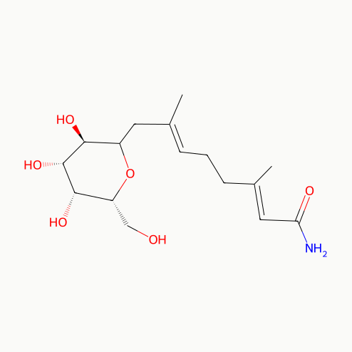 CC(=CCC/C(C)=C/C(N)=O)CC1O[C@H](CO)[C@H](O)[C@H](O)[C@H]1O